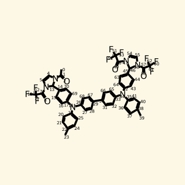 CC(=O)N1C=CN(C(=O)C(F)(F)F)C1c1ccc(N(c2ccc(C)cc2)c2ccc(-c3ccc(N(c4ccc(C)cc4)c4ccc(C5N(C(=O)C(F)(F)F)C=CN5C(=O)C(F)(F)F)cc4)cc3)cc2)cc1